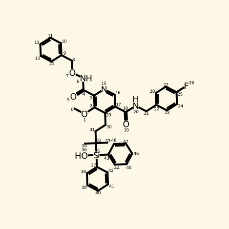 COc1c(C(=O)NOCc2ccccc2)ncc(C(=O)NCc2ccc(F)cc2)c1CCC(C)(C)[Si](O)(c1ccccc1)c1ccccc1